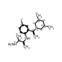 C=C(Nc1ccc(I)cc1C(=C)N1C[C@H](C)C[C@H](C)C1)C(C)NC(C)=O